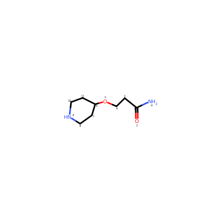 NC(=O)CCOC1CCNCC1